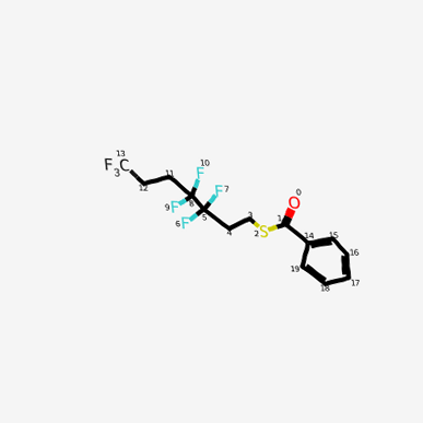 O=C(SCCC(F)(F)C(F)(F)CCC(F)(F)F)c1ccccc1